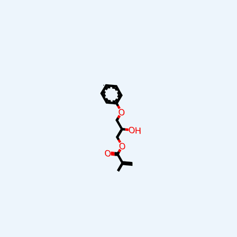 C=C(C)C(=O)OCC(O)COc1cc[c]cc1